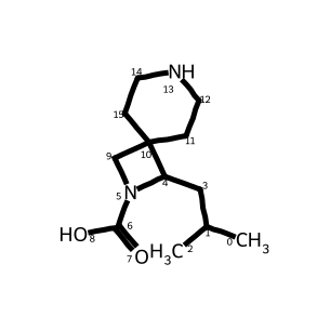 CC(C)CC1N(C(=O)O)CC12CCNCC2